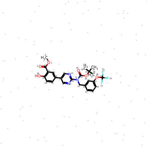 COC(=O)c1cc(-c2cnc(N(Cc3cccc(OC(F)(F)F)c3)C(=O)OC(C)(C)C)nc2)ccc1O